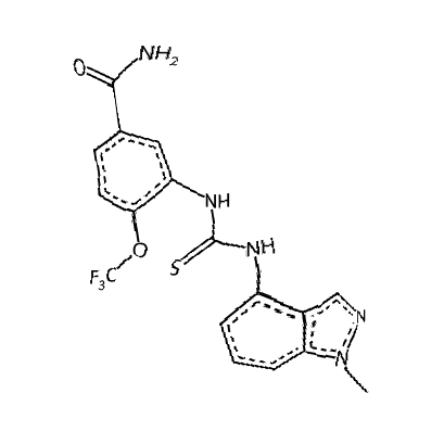 Cn1ncc2c(NC(=S)Nc3cc(C(N)=O)ccc3OC(F)(F)F)cccc21